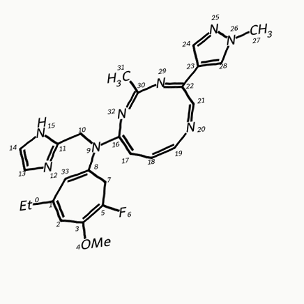 CCC1=CC(OC)=C(F)CC(N(Cc2ncc[nH]2)c2cccncc(-c3cnn(C)c3)nc(C)n2)=C1